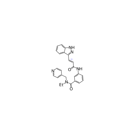 CCN(Cc1ccncc1)C(=O)c1cccc(NC(=O)/C=C/c2n[nH]c3ccccc23)c1